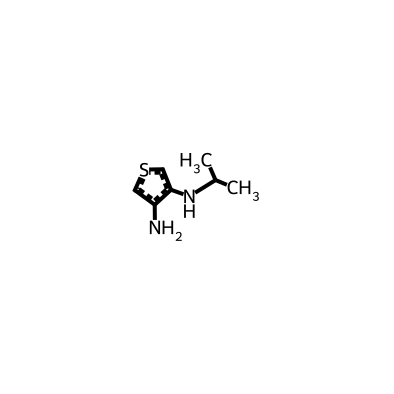 CC(C)Nc1cscc1N